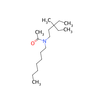 CCCCCCCN(CCC(C)(CC)CC)C(C)=O